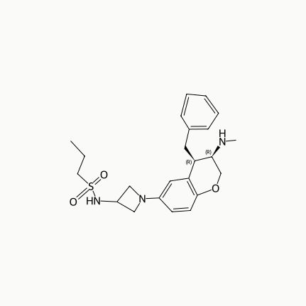 CCCS(=O)(=O)NC1CN(c2ccc3c(c2)[C@@H](Cc2ccccc2)[C@@H](NC)CO3)C1